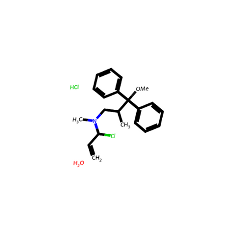 C=CC(Cl)N(C)CC(C)C(OC)(c1ccccc1)c1ccccc1.Cl.O